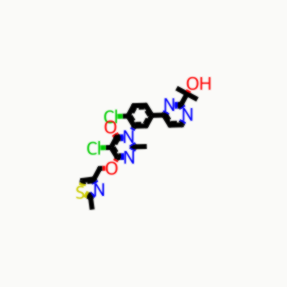 Cc1nc(COc2nc(C)n(-c3cc(-c4ccnc(C(C)(C)O)n4)ccc3Cl)c(=O)c2Cl)cs1